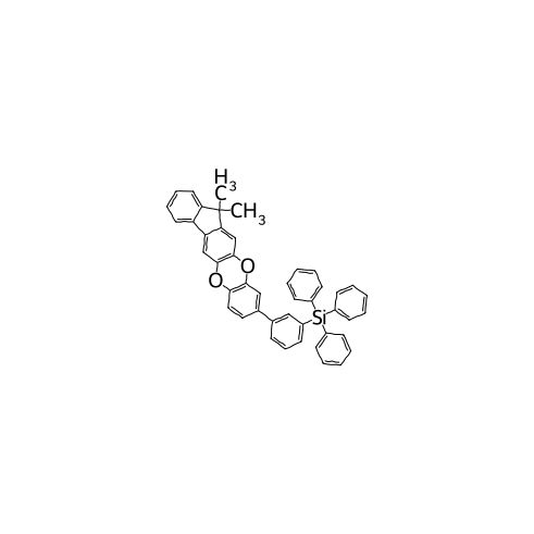 CC1(C)c2ccccc2-c2cc3c(cc21)Oc1cc(-c2cccc([Si](c4ccccc4)(c4ccccc4)c4ccccc4)c2)ccc1O3